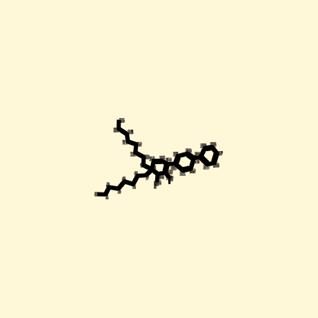 CCCCCCCCC1(CCCCCCCC)C=CC(c2ccc(-c3ccccc3)cc2)=C(F)C1F